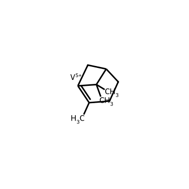 CC1=C2CC(CC1)C2(C)C.[V+5]